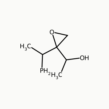 CC(O)C1(C(C)P)CO1